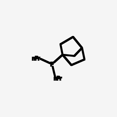 CCCP(CCC)C12CCC(CC1)C2